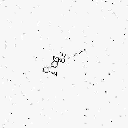 CCCCCCCC(=O)On1cnc2cc(-c3ccccc3C#N)ccc21